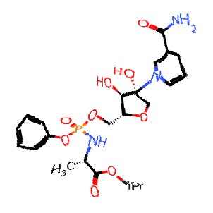 CC(C)OC(=O)[C@H](C)NP(=O)(OC[C@H]1OC[C@](O)(N2C=CCC(C(N)=O)=C2)[C@@H]1O)Oc1ccccc1